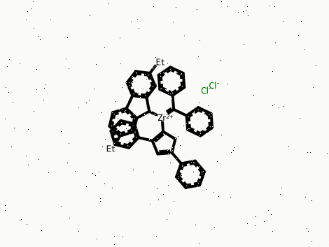 CCc1ccc2c(c1)[CH]([Zr+2]([C]1=C(c3ccccc3)C=C(c3ccccc3)C1)=[C](c1ccccc1)c1ccccc1)c1cc(CC)ccc1-2.[Cl-].[Cl-]